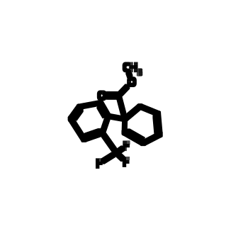 COC(=O)C1(c2ccccc2C(F)(F)F)C=CC=CC1